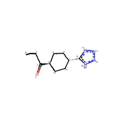 CCC(=O)[C@H]1CC[C@H](c2nnn[nH]2)CC1